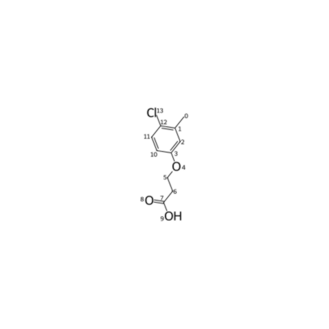 Cc1cc(OCCC(=O)O)ccc1Cl